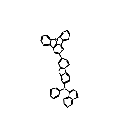 c1ccc(N(c2ccc3c(c2)oc2cc(-c4cc5c6ccccc6n6c7ccccc7c(c4)c56)ccc23)c2cccc3ccccc23)cc1